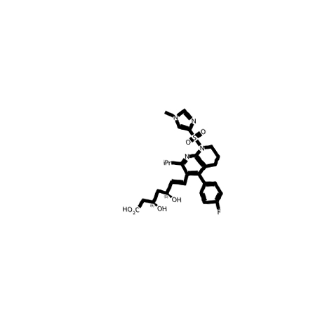 CC(C)c1nc2c(c(-c3ccc(F)cc3)c1C=C[C@@H](O)C[C@@H](O)CC(=O)O)CCCN2S(=O)(=O)c1cn(C)cn1